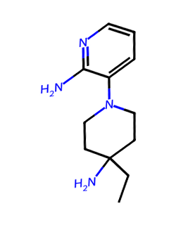 CCC1(N)CCN(c2cccnc2N)CC1